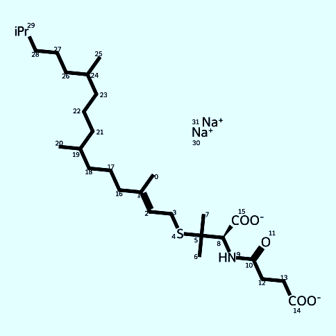 C/C(=C\CSC(C)(C)[C@H](NC(=O)CCC(=O)[O-])C(=O)[O-])CCCC(C)CCCC(C)CCCC(C)C.[Na+].[Na+]